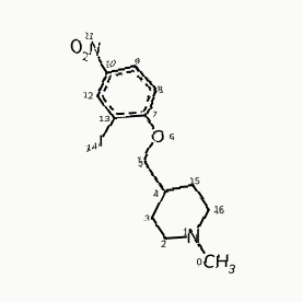 CN1CCC(COc2ccc([N+](=O)[O-])cc2I)CC1